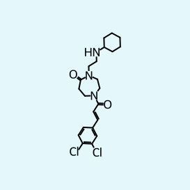 O=C(C=Cc1ccc(Cl)c(Cl)c1)N1CCC(=O)N(CCNC2CCCCC2)CC1